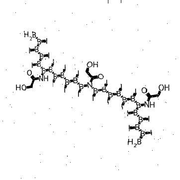 BB(I)B(I)B(I)B(I)B(NC(=O)CO)B(I)B(I)B(I)B(I)B(I)B(I)N(B(I)B(I)B(I)B(I)B(I)B(I)B(NC(=O)CO)B(I)B(I)B(I)B(B)I)C(=O)CO